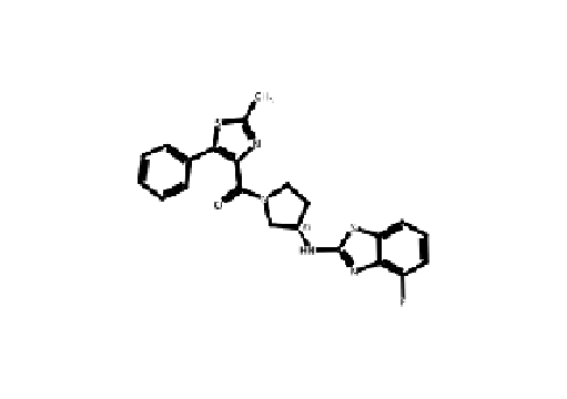 Cc1nc(C(=O)N2CC[C@@H](Nc3nc4c(F)cccc4s3)C2)c(-c2ccccc2)s1